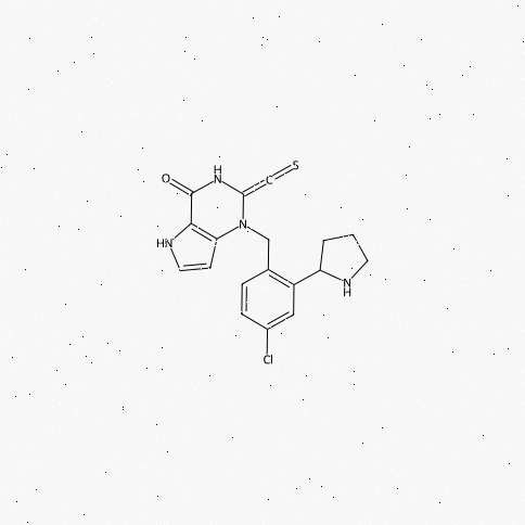 O=C1NC(=C=S)N(Cc2ccc(Cl)cc2C2CCCN2)c2cc[nH]c21